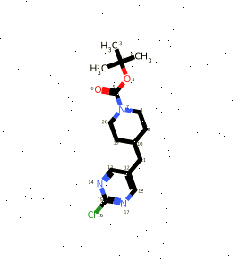 CC(C)(C)OC(=O)N1CCC(Cc2cnc(Cl)nc2)CC1